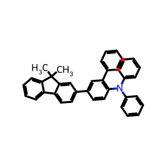 CC1(C)c2ccccc2-c2ccc(-c3ccc(N(c4ccccc4)c4ccccc4)c(-c4ccccc4)c3)cc21